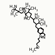 COCCCn1ncc2ccc(CC(CC(N)C(O)CC(C(=O)NCC(C)(C)C(N)=O)C(C)C)C(C)C)cc21